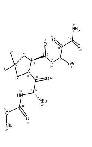 CCCC(NC(=O)[C@@H]1CC(C)(C)CN1C(=O)[C@@H](NC(=O)OC(C)(C)C)C(C)(C)C)C(=O)C(N)=O